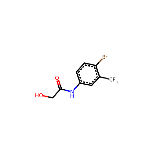 O=C(CO)Nc1ccc(Br)c(C(F)(F)F)c1